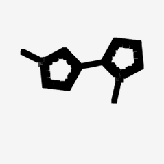 Cn1ccc(-c2cccn2C)c1